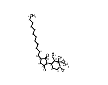 CCCCCCCCCCCCC1CC(=O)N(C2CC[N+](C)([O-])C(C)(C)C2C)C1=O